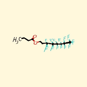 CCCC(=O)OCCC(F)(F)C(F)(F)C(F)(F)C(F)(F)C(F)(F)C(F)(F)F